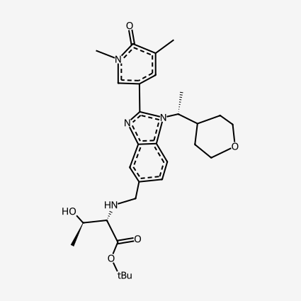 Cc1cc(-c2nc3cc(CN[C@H](C(=O)OC(C)(C)C)[C@@H](C)O)ccc3n2[C@H](C)C2CCOCC2)cn(C)c1=O